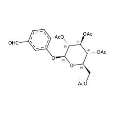 CC(=O)OC[C@H]1O[C@@H](Oc2cccc(C=O)c2)[C@H](OC(C)=O)[C@@H](OC(C)=O)[C@@H]1OC(C)=O